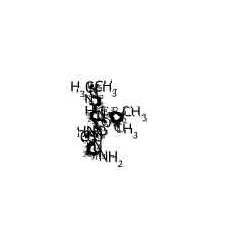 Cc1cc(C)c(Oc2nc(-c3ccc(N(C)C)nc3)ccc2C(=O)NS(=O)(=O)c2cccc(N)n2)c(C)c1